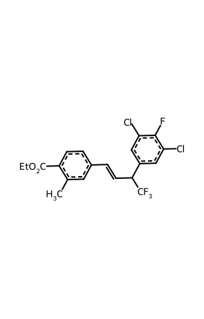 CCOC(=O)c1ccc(/C=C/C(c2cc(Cl)c(F)c(Cl)c2)C(F)(F)F)cc1C